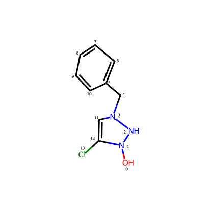 ON1NN(Cc2ccccc2)C=C1Cl